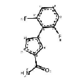 NC(=O)c1cc(-c2c(F)cccc2F)cs1